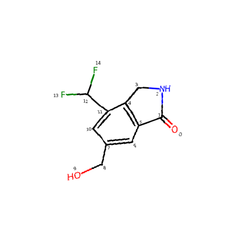 O=C1NCc2c1cc(CO)cc2C(F)F